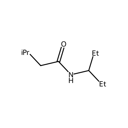 CCC(CC)NC(=O)CC(C)C